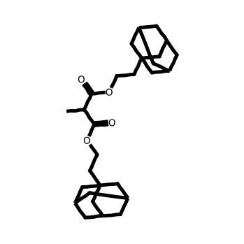 CC(C(=O)OCCC12CC3CC(CC(C3)C1)C2)C(=O)OCCC12CC3CC(CC(C3)C1)C2